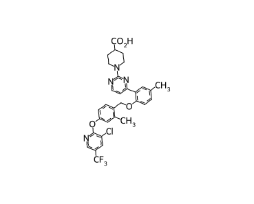 Cc1ccc(OCc2ccc(Oc3ncc(C(F)(F)F)cc3Cl)cc2C)c(-c2ccnc(N3CCC(C(=O)O)CC3)n2)c1